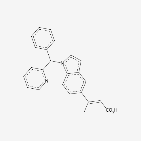 CC(=CC(=O)O)c1ccc2c(ccn2C(c2ccccc2)c2ccccn2)c1